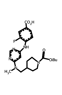 CC(C)COC(=O)N1CCC(CN(C)c2cc(Nc3ccc(C(=O)O)cc3F)ncn2)CC1